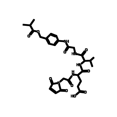 CC(C)C(=O)OCc1ccc(NC(=O)CNC(=O)C(NC(=O)C(CCC(=O)O)NC(=O)CN2C(=O)C=CC2=O)C(C)C)cc1